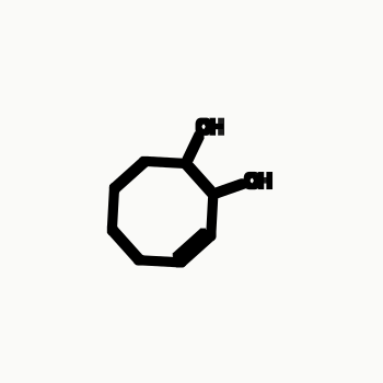 OC1C=CCCCCC1O